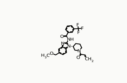 C=CC(=O)N1CCC[C@@H](n2c(NC(=O)c3cccc(C(F)(F)F)c3)nc3cc(COC)ccc32)C1